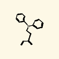 C=CC(=C)CCN(c1ccccc1)c1ccccc1